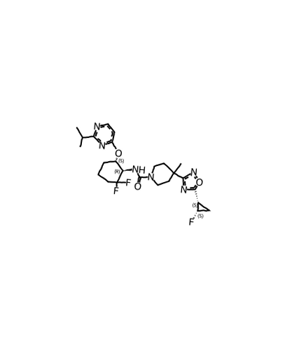 CC(C)c1nccc(O[C@H]2CCCC(F)(F)[C@@H]2NC(=O)N2CCC(C)(c3noc([C@@H]4C[C@@H]4F)n3)CC2)n1